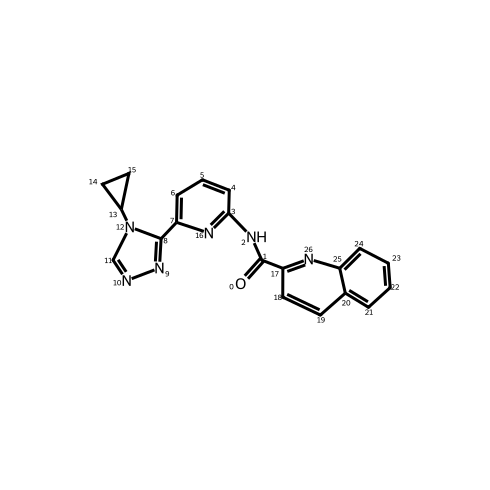 O=C(Nc1cccc(-c2nncn2C2CC2)n1)c1ccc2ccccc2n1